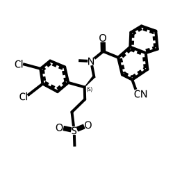 CN(C[C@@H](CCS(C)(=O)=O)c1ccc(Cl)c(Cl)c1)C(=O)c1cc(C#N)cc2ccccc12